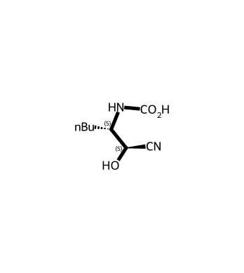 CCCC[C@H](NC(=O)O)[C@H](O)C#N